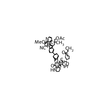 C=CC(=O)N1CC[C@H](C(=O)N(C)C(C(=O)N[C@@H](Cc2cccc(-c3ccc4c(c3)c(CC(C)(C)COC(C)=O)c(-c3cccnc3[C@H](C)OC)n4CC#N)c2)C(=O)N2CCCCN2)C(C)C)C1